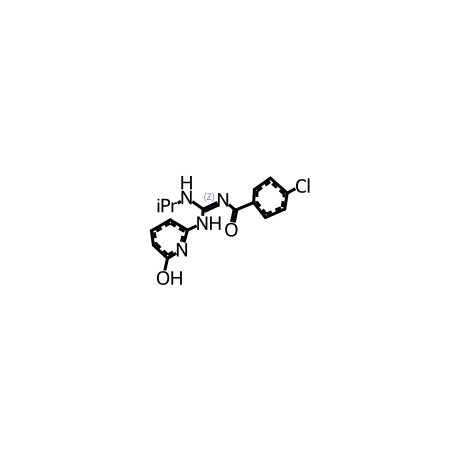 CC(C)N/C(=N/C(=O)c1ccc(Cl)cc1)Nc1cccc(O)n1